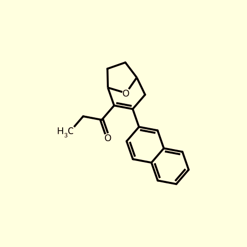 CCC(=O)C1=C(c2ccc3ccccc3c2)CC2CCC1O2